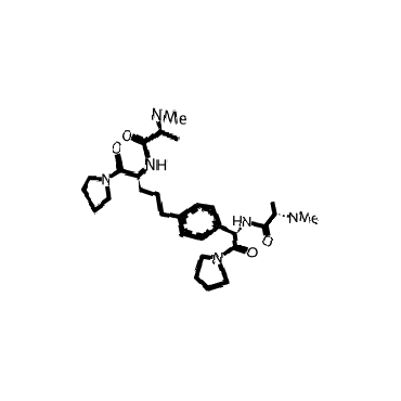 CN[C@@H](C)C(=O)N[C@@H](CCCc1ccc([C@H](NC(=O)[C@H](C)NC)C(=O)N2CCCC2)cc1)C(=O)N1CCCC1